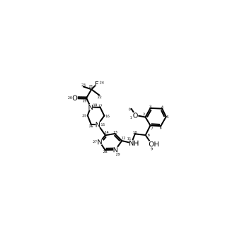 COc1ccccc1C(O)CNc1cc(N2CCN(C(=O)C(C)(C)F)CC2)ncn1